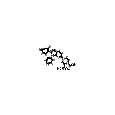 O=C(O)[C@H]1CN(c2ccc3nc(-c4ccc(F)cc4F)n(-c4ccncc4)c3n2)CCN1C(=O)O